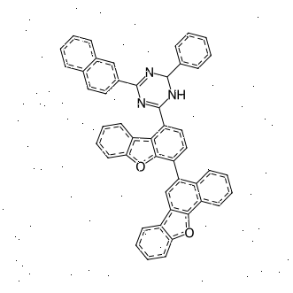 c1ccc(C2N=C(c3ccc4ccccc4c3)N=C(c3ccc(-c4cc5c6ccccc6oc5c5ccccc45)c4oc5ccccc5c34)N2)cc1